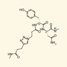 CNC(=O)CCc1cn(CCC(=O)N[C@H](Cc2ccc(O)cc2)C(=O)N[C@@H](CC(N)=O)C(=O)NC)nn1